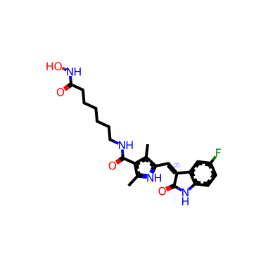 Cc1[nH]c(/C=C2\C(=O)Nc3ccc(F)cc32)c(C)c1C(=O)NCCCCCCC(=O)NO